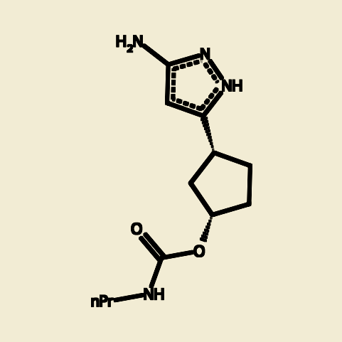 CCCNC(=O)O[C@H]1CC[C@@H](c2cc(N)n[nH]2)C1